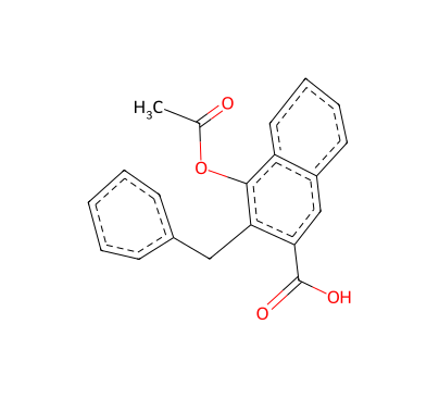 CC(=O)Oc1c(Cc2ccccc2)c(C(=O)O)cc2ccccc12